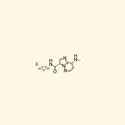 CNc1ccnn2c(C(=O)N[C@@H]3C[C@@H]3F)cnc12